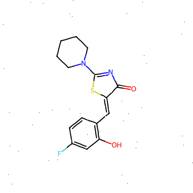 O=C1N=C(N2CCCCC2)SC1=Cc1ccc(F)cc1O